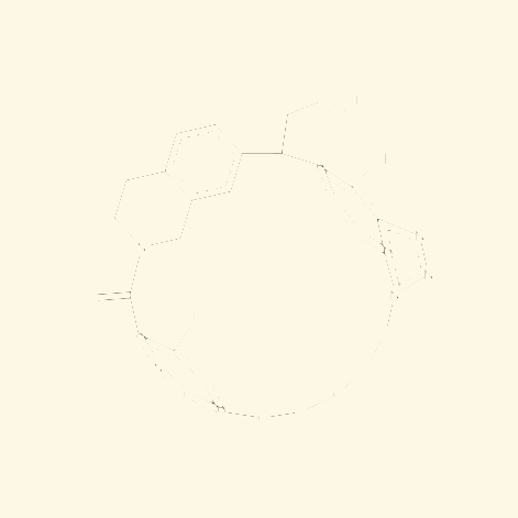 O=C(O)CC1c2ccc3c(c2)CN(CC3)C(=O)c2ncc(cc2F)CCCCCn2nnc3c(Cl)c1ccc32